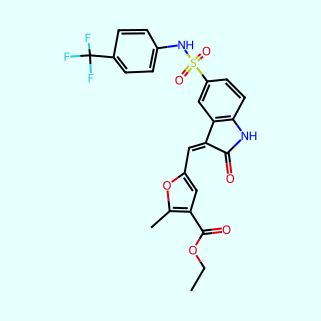 CCOC(=O)c1cc(C=C2C(=O)Nc3ccc(S(=O)(=O)Nc4ccc(C(F)(F)F)cc4)cc32)oc1C